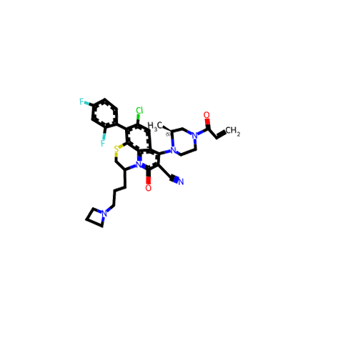 C=CC(=O)N1CCN(c2c(C#N)c(=O)n3c4c(c(-c5ccc(F)cc5F)c(Cl)cc24)SCC3CCCN2CCC2)[C@@H](C)C1